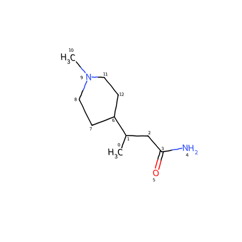 CC(CC(N)=O)C1CCN(C)CC1